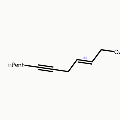 CCCCCC#CC/C=C/COC(C)=O